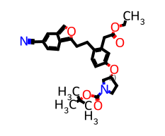 CCOC(=O)Cc1cc(O[C@H]2CCN(C(=O)OC(C)(C)C)C2)ccc1CCc1occ2cc(C#N)ccc12